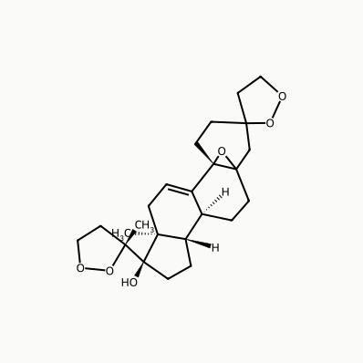 C[C@]1([C@@]2(O)CC[C@H]3[C@@H]4CCC56CC7(CCOO7)CC[C@]5(O6)C4=CC[C@@]32C)CCOO1